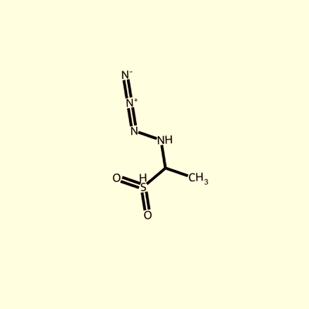 CC(NN=[N+]=[N-])[SH](=O)=O